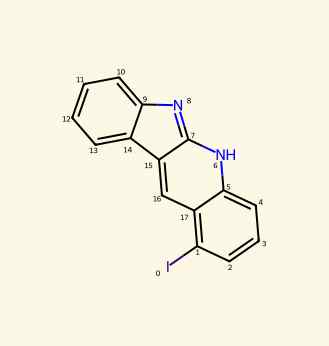 Ic1cccc2[nH]c3nc4ccccc4c-3cc12